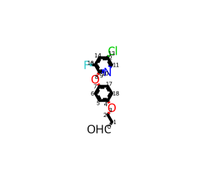 O=CCCOc1ccc(Oc2ncc(Cl)cc2F)cc1